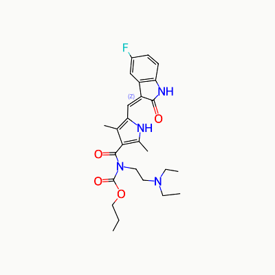 CCCOC(=O)N(CCN(CC)CC)C(=O)c1c(C)[nH]c(/C=C2\C(=O)Nc3ccc(F)cc32)c1C